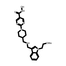 COCCn1cc(CNCC2CCN(c3ncc(C(=O)NO)cn3)CC2)c2ccccc21